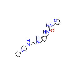 C[C@H](NCc1ccccn1)C(=O)NCc1ccc(CNCCCNC2CCN(C3CCCCC3)CC2)cc1